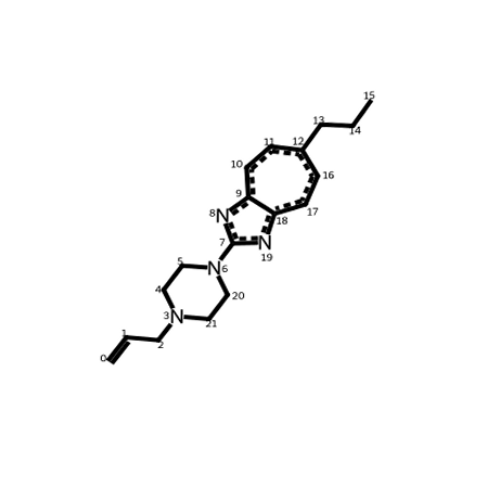 C=CCN1CCN(c2nc3ccc(CCC)ccc-3n2)CC1